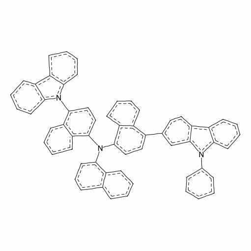 c1ccc(-n2c3ccccc3c3ccc(-c4ccc(N(c5cccc6ccccc56)c5ccc(-n6c7ccccc7c7ccccc76)c6ccccc56)c5ccccc45)cc32)cc1